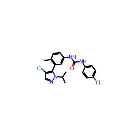 Cc1ccc(NC(=O)Nc2ccc(Cl)cc2)cc1-c1c(Cl)cnn1C(C)C